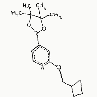 CC1(C)OB(c2ccnc(OCC3CCC3)c2)OC1(C)C